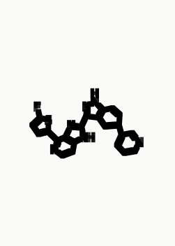 Fc1ccc(-c2nccc3[nH]c(-c4n[nH]c5ccc(-c6cccnc6)cc45)nc23)s1